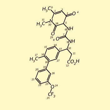 CC1=CC(=O)C(NC(=O)NC(CC(=O)O)c2ccc(C)c(-c3cccc(OC(F)(F)F)c3)c2)C(=O)N1C